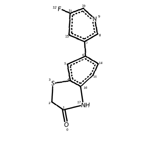 O=C1CSc2cc(-c3cncc(F)c3)ccc2N1